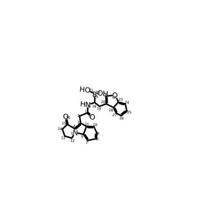 O=C(Cc1c2n(c3ccccc13)CCCC2=O)NC(Cc1coc2ccccc12)B(O)O